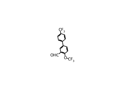 O=Cc1cc(-c2ccc(C(F)(F)F)cc2)ccc1OC(F)(F)F